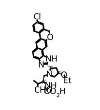 CCO[C@H]1C[C@@H](c2nc3ccc4cc5c(cc4c3[nH]2)OCc2cc(Cl)ccc2-5)N(C[C@@H](NC(=O)O)C(C)C=O)C1